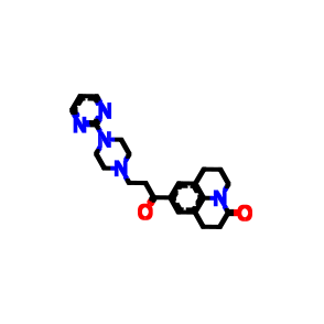 O=C(CCN1CCN(c2ncccn2)CC1)c1cc2c3c(c1)CCC(=O)N3CCC2